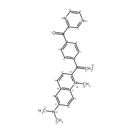 C=C(c1ccc(C(=O)c2cnccn2)cc1)c1ccc2cc(N(C)C)ccc2[n+]1C.[I-]